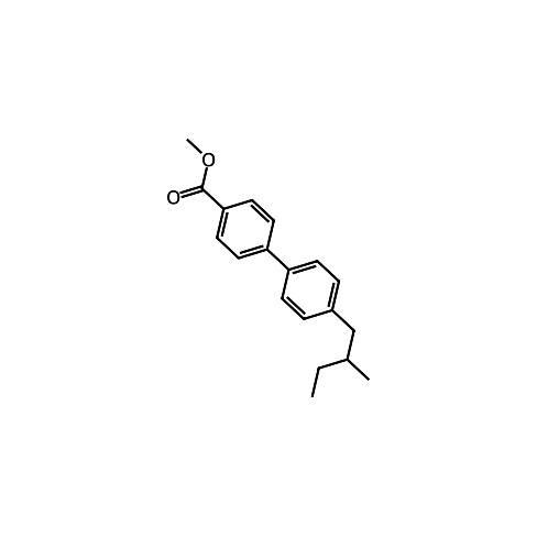 CCC(C)Cc1ccc(-c2ccc(C(=O)OC)cc2)cc1